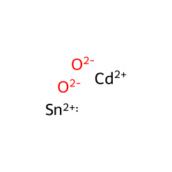 [Cd+2].[O-2].[O-2].[Sn+2]